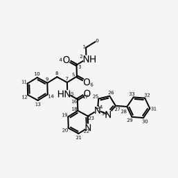 CCNC(=O)C(=O)C(Cc1ccccc1)NC(=O)c1cccnc1-n1ccc(-c2ccccc2)n1